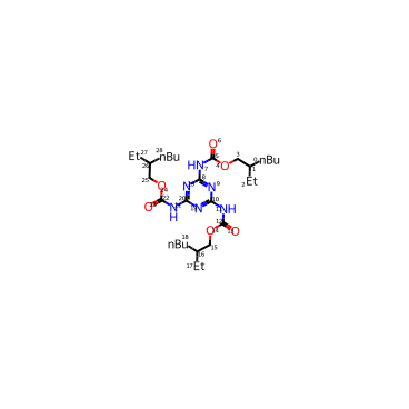 CCCCC(CC)COC(=O)Nc1nc(NC(=O)OCC(CC)CCCC)nc(NC(=O)OCC(CC)CCCC)n1